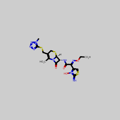 Cn1nnnc1SCC1=C(C(=O)O)N2C(=O)[C@@H](NC(=O)C(=NOCC(=O)O)c3csc(=N)n3O)[C@@H]2SC1